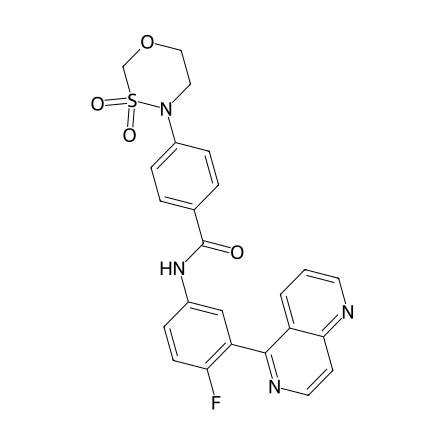 O=C(Nc1ccc(F)c(-c2nccc3ncccc23)c1)c1ccc(N2CCOCS2(=O)=O)cc1